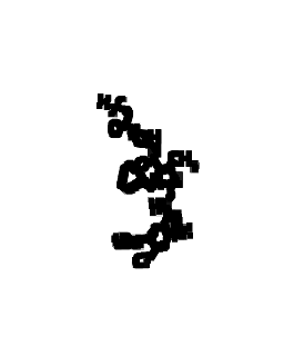 C=CC(=O)N1CC(NC(=O)c2c(C)nc(CNc3n[nH]c4cc(Cl)c(C(C)(C)C)cc34)n2Cc2ccccc2)C1